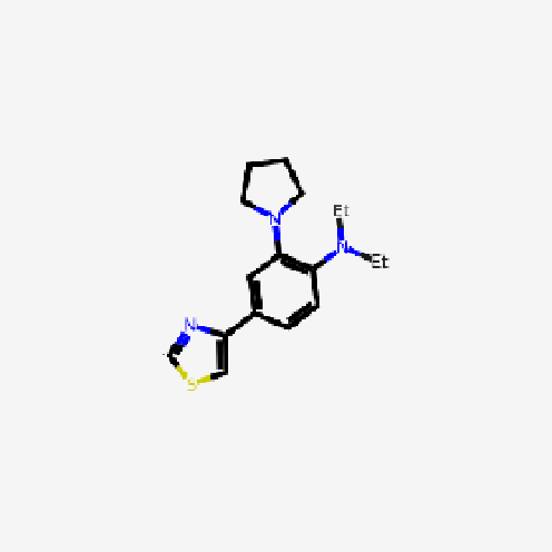 CCN(CC)c1ccc(-c2cs[c]n2)cc1N1CCCC1